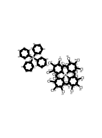 Clc1c(Cl)c(Cl)[c]([Al-]([c]2c(Cl)c(Cl)c(Cl)c(Cl)c2Cl)([c]2c(Cl)c(Cl)c(Cl)c(Cl)c2Cl)[c]2c(Cl)c(Cl)c(Cl)c(Cl)c2Cl)c(Cl)c1Cl.c1ccc([P+](c2ccccc2)(c2ccccc2)c2ccccc2)cc1